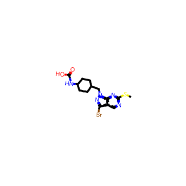 CSc1ncc2c(Br)nn(CC3CCC(NC(=O)O)CC3)c2n1